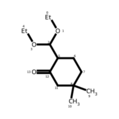 CCOC(OCC)C1CCC(C)(C)CC1=O